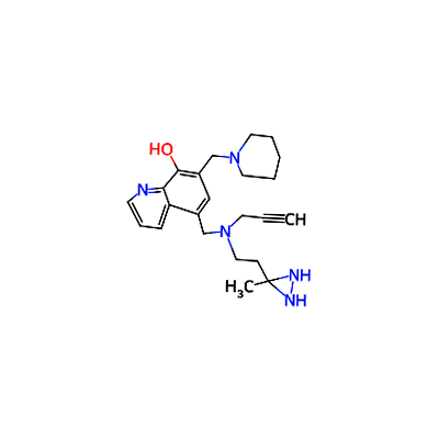 C#CCN(CCC1(C)NN1)Cc1cc(CN2CCCCC2)c(O)c2ncccc12